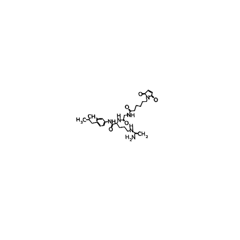 C=C(N)NCCCC(NC(=O)CNC(=O)CCCCCN1C(=O)C=CC1=O)C(=O)Nc1ccc(CC(C)C)cc1